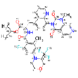 Cc1cc(N2CCOC[C@@H]2C(F)(F)F)cc(F)c1C(=O)N[C@@H](Cc1ccc(-n2c(=O)c3ccncc3n(C)c2=O)c2ncccc12)C(=O)OC(C)C